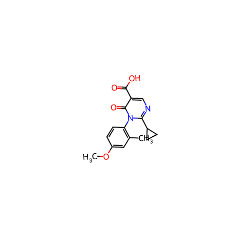 COc1ccc(-n2c(C3CC3)ncc(C(=O)O)c2=O)c(C)c1